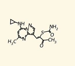 CC(=O)/C(=C/c1cnn2c(NC3CC3)cc(C)nc12)SC(N)=O